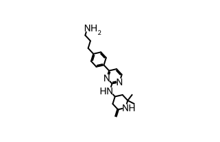 C=C1CC(Nc2nccc(-c3ccc(CCCN)cc3)n2)CC(C)(C)N1